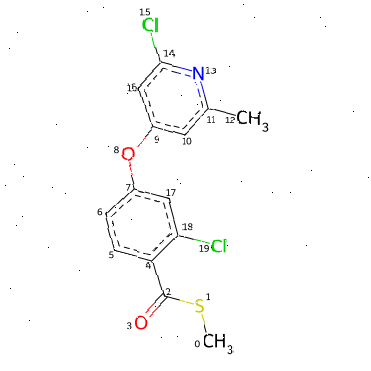 CSC(=O)c1ccc(Oc2cc(C)nc(Cl)c2)cc1Cl